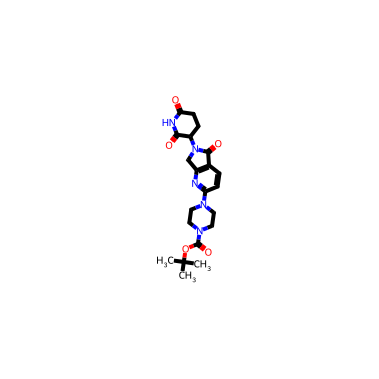 CC(C)(C)OC(=O)N1CCN(c2ccc3c(n2)CN(C2CCC(=O)NC2=O)C3=O)CC1